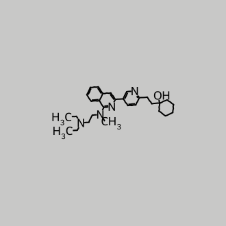 CCN(CC)CCN(C)c1nc(-c2ccc(CCC3(O)CCCCC3)nc2)cc2ccccc12